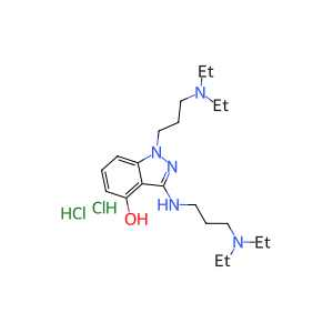 CCN(CC)CCCNc1nn(CCCN(CC)CC)c2cccc(O)c12.Cl.Cl